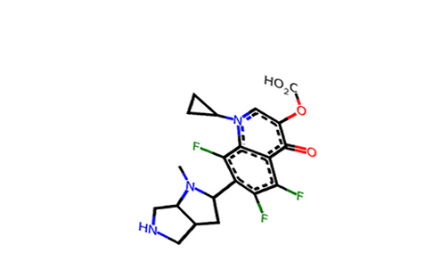 CN1C(c2c(F)c(F)c3c(=O)c(OC(=O)O)cn(C4CC4)c3c2F)CC2CNCC21